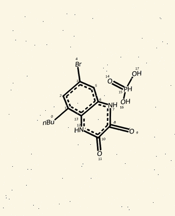 CCCCc1cc(Br)cc2[nH]c(=O)c(=O)[nH]c12.O=[PH](O)O